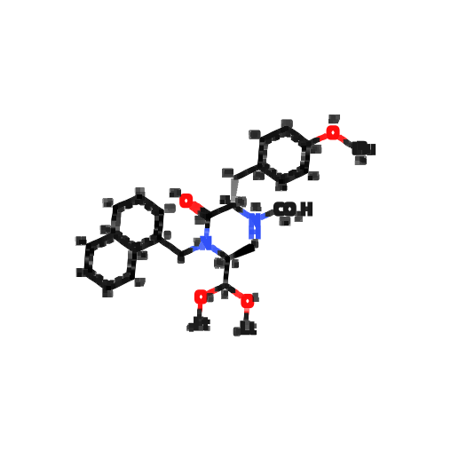 CCOC(OCC)[C@H](C)N(Cc1cccc2ccccc12)C(=O)[C@H](Cc1ccc(OC(C)(C)C)cc1)NC(=O)O